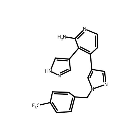 Nc1nccc(-c2cnn(Cc3ccc(C(F)(F)F)cc3)c2)c1-c1cn[nH]c1